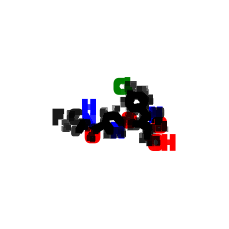 C[C@H](NC(=O)c1ccc(OCc2c(-c3ccc(Cl)cc3)noc2CO)nc1)C(F)(F)F